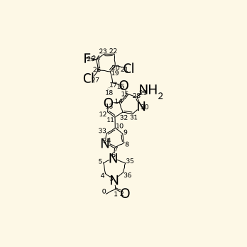 CC(=O)N1CCN(c2ccc(-c3coc4c(O[C@H](C)c5c(Cl)ccc(F)c5Cl)c(N)ncc34)cn2)CC1